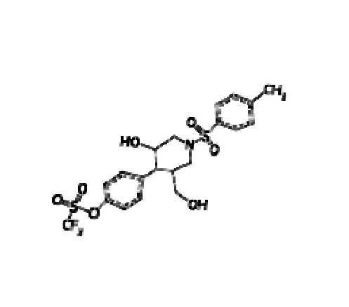 Cc1ccc(S(=O)(=O)N2CC(O)C(c3ccc(OS(=O)(=O)C(F)(F)F)cc3)C(CO)C2)cc1